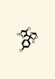 Clc1ccc(C2(c3n[nH]cc3Cl)N=CON2)cc1